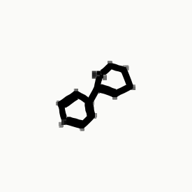 C1=C(c2ccncc2)NCCC1